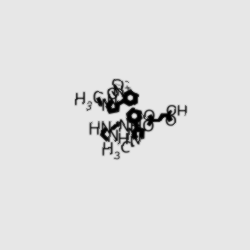 CCn1ccc(-c2ccccc2NCC2=NCCN2)n1.CCn1ccc(-c2ccccc2[N+](=O)[O-])n1.O=C(O)C=CC(=O)O